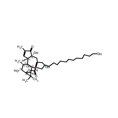 CC1=C[C@H]2[C@@]3(O)[C@H](C)[C@@H](O)[C@]4(OC(=O)CCCCCCCCCCCCCCCO)[C@@H]([C@@H]3C=C(CO)C[C@]2(O)C1=O)C4(C)C